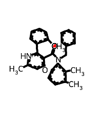 Cc1cc(=O)c(C(=O)N(Cc2ccccc2)c2cccc(C)c2C)c(-c2ccccc2C)[nH]1